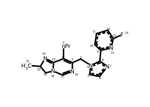 CCCC1=C(Cn2ccnc2-c2cccc(F)n2)N=CN2CC(C)N=C12